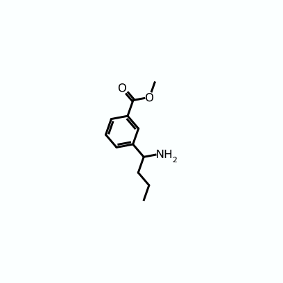 CCCC(N)c1cccc(C(=O)OC)c1